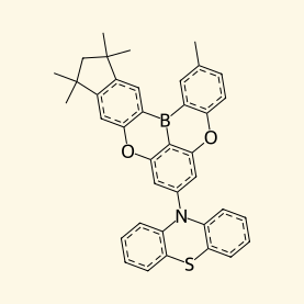 Cc1ccc2c(c1)B1c3cc4c(cc3Oc3cc(N5c6ccccc6Sc6ccccc65)cc(c31)O2)C(C)(C)CC4(C)C